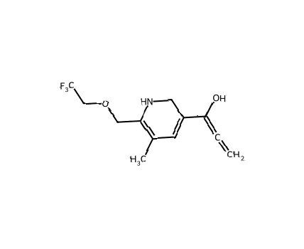 C=C=C(O)C1=CC(C)=C(COCC(F)(F)F)NC1